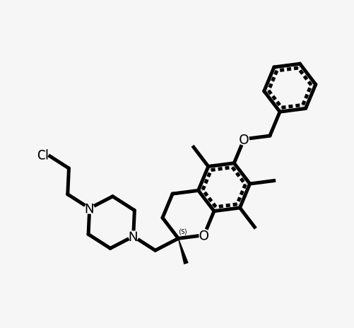 Cc1c(C)c2c(c(C)c1OCc1ccccc1)CC[C@@](C)(CN1CCN(CCCl)CC1)O2